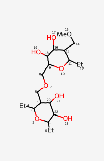 CCC1OC(CC)C(COCC2OC(CC)C(COC)C(O)C2O)C(O)C1O